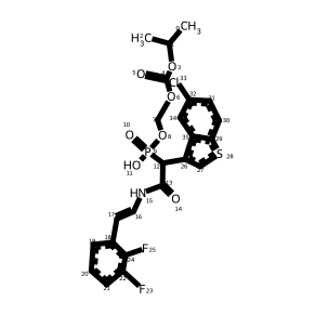 CC(C)OC(=O)OCOP(=O)(O)C(C(=O)N/C=C/c1cccc(F)c1F)c1csc2ccc(Cl)cc12